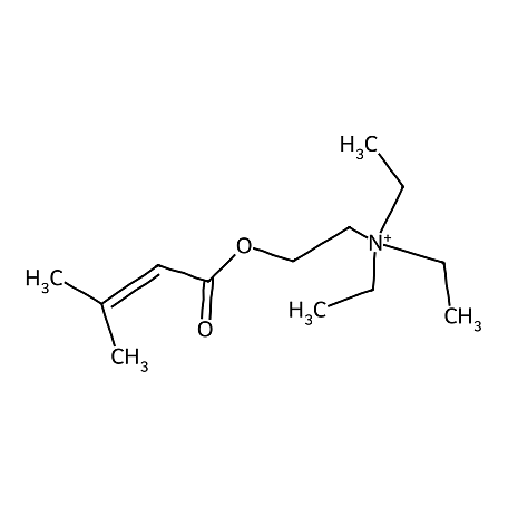 CC[N+](CC)(CC)CCOC(=O)C=C(C)C